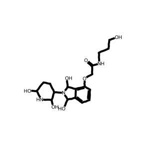 O=C(COc1cccc2c1C(O)N(C1CCC(O)NC1O)C2O)NCCCO